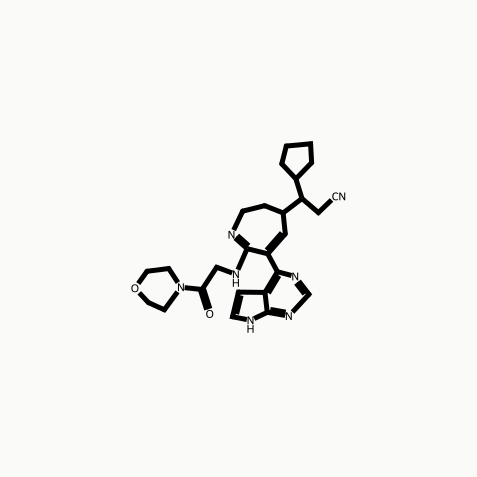 N#CCC(C1C=C(c2ncnc3[nH]ccc23)C(NCC(=O)N2CCOCC2)=NCC1)C1CCCC1